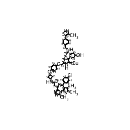 Cc1ncsc1-c1ccc(CNC(=O)[C@@H]2C[C@@H](O)CN2C(=O)C(NC(=O)COc2ccc(O[C@H]3C[C@@H](NC(=O)C[C@@H]4N=C(c5ccc(Cl)cc5)c5c(sc(C)c5C)-n5c(C)nnc54)C3)nc2)C(C)(C)C)cc1